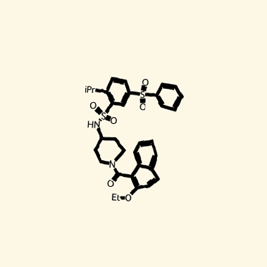 CCOc1ccc2ccccc2c1C(=O)N1CCC(NS(=O)(=O)c2cc(S(=O)(=O)c3ccccc3)ccc2C(C)C)CC1